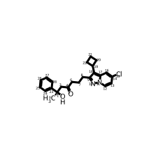 C[C@](O)(CC(=O)CCCc1nn2ccc(Cl)cc2c1C1CCC1)c1ccccc1